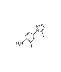 Cc1ccnn1-c1ccc(N)c(F)c1